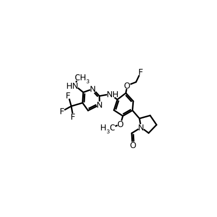 CNc1nc(Nc2cc(OC)c(C3CCCN3C=O)cc2OCF)ncc1C(F)(F)F